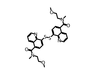 COCCN(C)C(=O)c1ccc(SSc2ccc(C(=O)N(C)CCOC)c3cccnc23)c2ncccc12